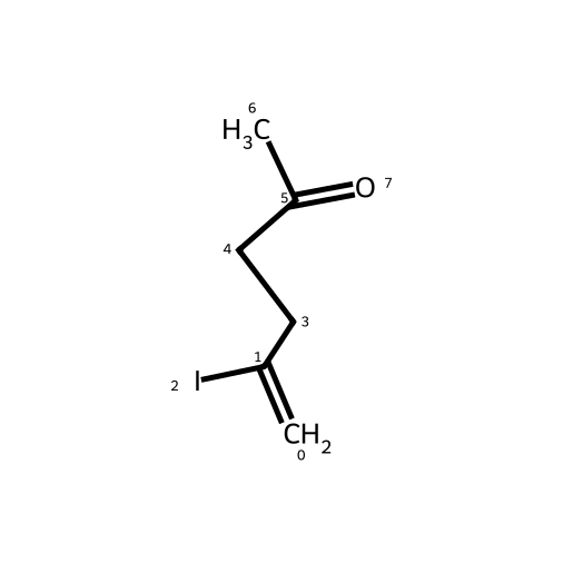 C=C(I)CCC(C)=O